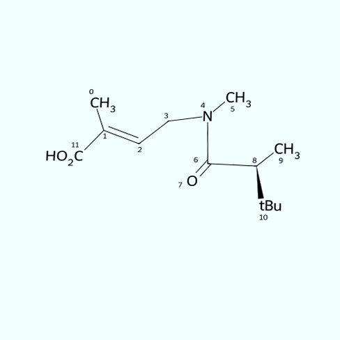 C/C(=C\CN(C)C(=O)[C@@H](C)C(C)(C)C)C(=O)O